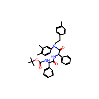 Cc1ccc(CCN(C(=O)C(NC(=O)[C@@H](NC(=O)OC(C)(C)C)c2ccccc2)c2ccccc2)c2ccc(C)c(C)c2)cc1